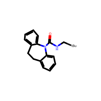 CC(C)(C)CNC(=O)N1c2ccccc2CCc2ccccc21